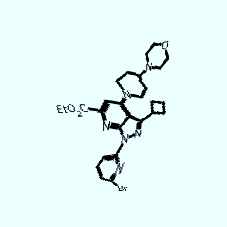 CCOC(=O)c1cc(N2CCC(N3CCOCC3)CC2)c2c(C3CCC3)nn(-c3cccc(Br)n3)c2n1